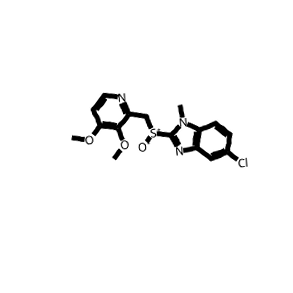 COc1ccnc(C[S+]([O-])c2nc3cc(Cl)ccc3n2C)c1OC